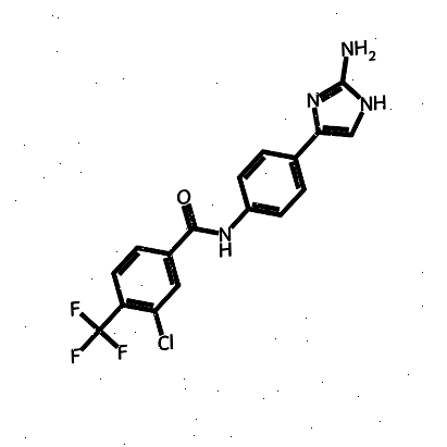 Nc1nc(-c2ccc(NC(=O)c3ccc(C(F)(F)F)c(Cl)c3)cc2)c[nH]1